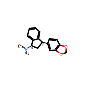 CCN(CC)[C@@H]1C[C@H](c2ccc3c(c2)OCO3)c2ccccc21